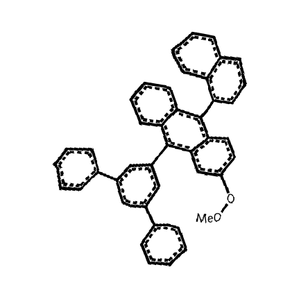 COOc1ccc2c(-c3cccc4ccccc34)c3ccccc3c(-c3cc(-c4ccccc4)cc(-c4ccccc4)c3)c2c1